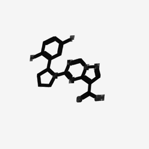 O=C(O)c1cnn2cnc(N3CCCC3c3cc(F)ccc3F)nc12